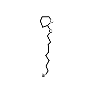 BrCCCCCCCCOC1CCCCO1